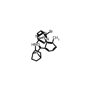 Cc1cccc(C(=O)N2C3CCC2C(Nc2cnc(Br)cn2)C3)c1-n1nccn1